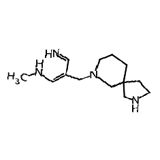 CN/C=C(\C=N)CN1CCCC2(CCNC2)C1